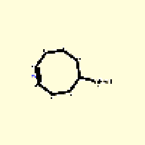 [CH2]CCCCC1CC/C=C\CCC1